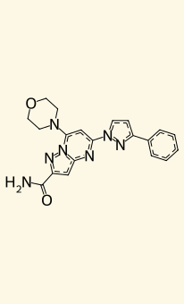 NC(=O)c1cc2nc(-n3ccc(-c4ccccc4)n3)cc(N3CCOCC3)n2n1